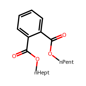 CCCCCCCOC(=O)c1ccccc1C(=O)OCCCCC